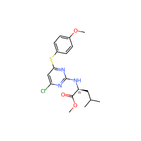 COC(=O)[C@H](CC(C)C)Nc1nc(Cl)cc(Sc2ccc(OC)cc2)n1